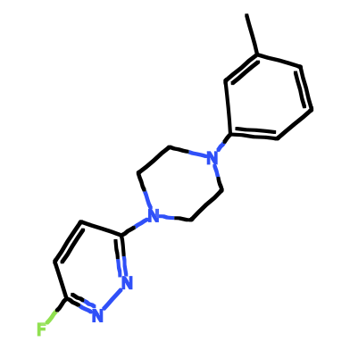 Cc1cccc(N2CCN(c3ccc(F)nn3)CC2)c1